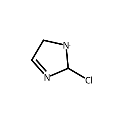 ClC1[N]CC=N1